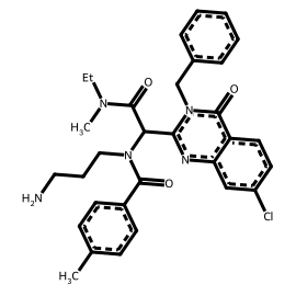 CCN(C)C(=O)C(c1nc2cc(Cl)ccc2c(=O)n1Cc1ccccc1)N(CCCN)C(=O)c1ccc(C)cc1